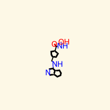 O=C(NO)c1ccc(CNc2cncc3ccccc23)cc1